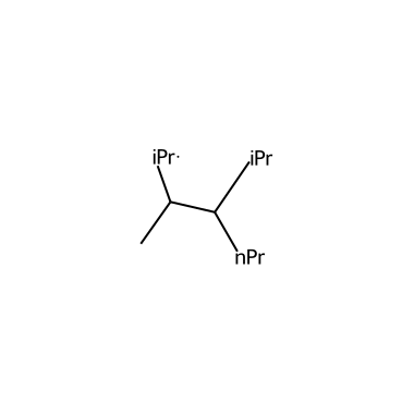 CCCC(C(C)C)C(C)[C](C)C